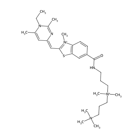 CCN1C(C)=C/C(=C/c2sc3cc(C(=O)NCCC[N+](C)(C)CCC[N+](C)(C)C)ccc3[n+]2C)N=C1C